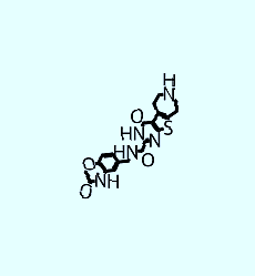 O=C1COc2ccc(CNC(=O)c3nc4sc5c(c4c(=O)[nH]3)CCNCC5)cc2N1